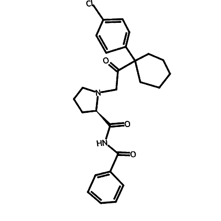 O=C(NC(=O)[C@H]1CCCN1CC(=O)C1(c2ccc(Cl)cc2)CCCCC1)c1ccccc1